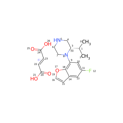 CC(C)[C@H]1CNCCN1c1cc(F)cc2ccoc12.O=C(O)/C=C/C(=O)O